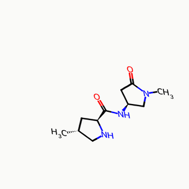 C[C@H]1CN[C@H](C(=O)N[C@H]2CC(=O)N(C)C2)C1